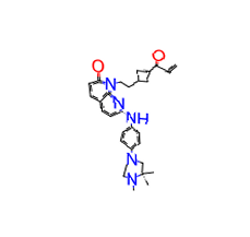 C=CC(=O)C1CC(CCn2c(=O)ccc3ccc(Nc4ccc(N5CCN(C)C(C)(C)C5)cc4)nc32)C1